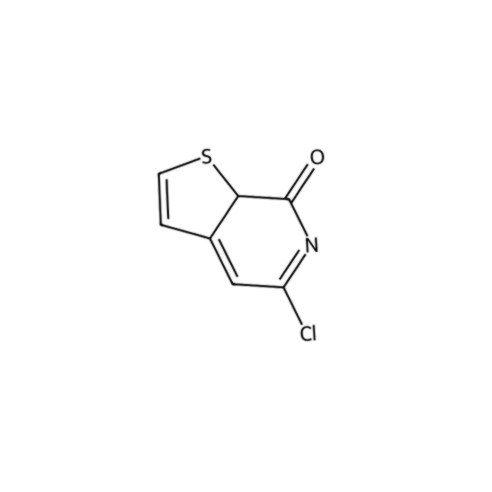 O=C1N=C(Cl)C=C2C=CSC12